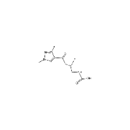 Cc1nn(C)cc1C(=O)CC(F)CNC(=O)O